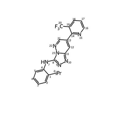 CC(C)c1ccccc1Nc1nnc2cc(-c3ncccc3C(F)(F)F)cnn12